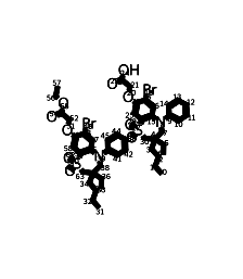 CCCCC1(CC)CN(c2ccccc2)c2cc(Br)c(OCC(=O)O)cc2S(=O)(=O)C1.CCCCC1(CC)CN(c2ccccc2)c2cc(Br)c(OCC(=O)OCC)cc2S(=O)(=O)C1